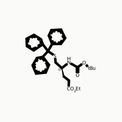 CCOC(=O)CC[C@@H](CSC(c1ccccc1)(c1ccccc1)c1ccccc1)NC(=O)OC(C)(C)C